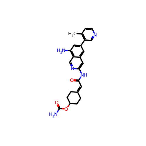 Cc1ccncc1-c1cc(N)c2cnc(NC(=O)C=C3CCC(OC(N)=O)CC3)cc2c1